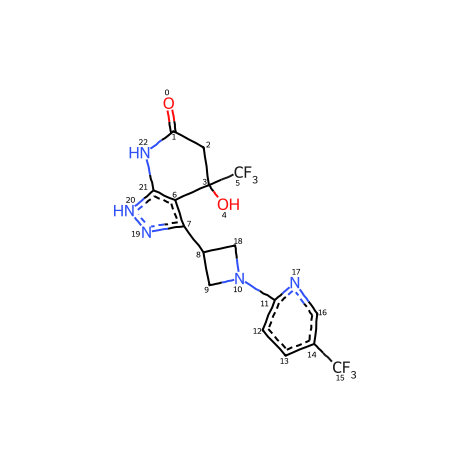 O=C1CC(O)(C(F)(F)F)c2c(C3CN(c4ccc(C(F)(F)F)cn4)C3)n[nH]c2N1